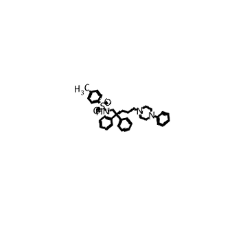 Cc1ccc(S(=O)(=O)NCC(CCCN2CCN(c3ccccc3)CC2)(c2ccccc2)c2ccccc2)cc1